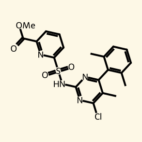 COC(=O)c1cccc(S(=O)(=O)Nc2nc(Cl)c(C)c(-c3c(C)cccc3C)n2)n1